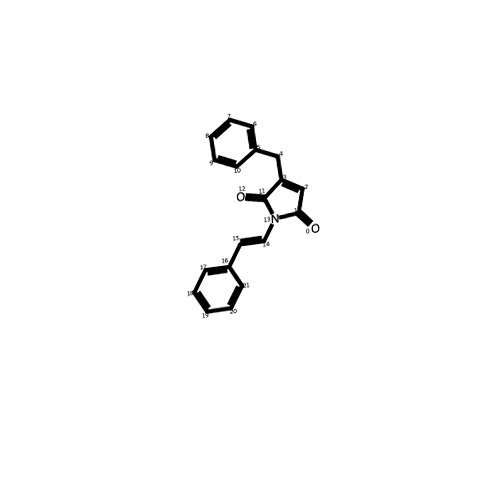 O=C1C=C(Cc2ccccc2)C(=O)N1C=Cc1ccccc1